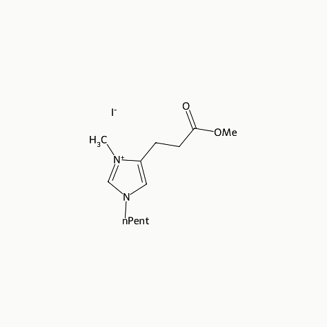 CCCCCn1cc(CCC(=O)OC)[n+](C)c1.[I-]